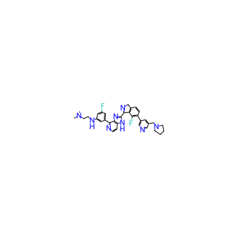 CN(C)CCNc1cc(F)cc(-c2nccc3[nH]c(C4=NCc5ccc(-c6cncc(CN7CCCC7)c6)c(F)c54)nc23)c1